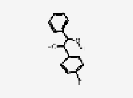 CCOC(c1ccccc1)C(O)c1ccc(F)cc1